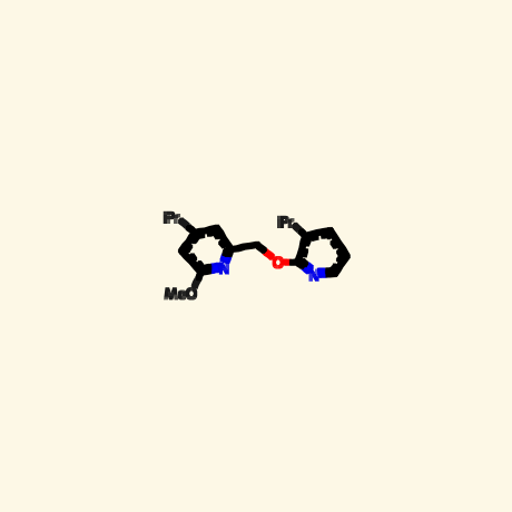 COc1cc(C(C)C)cc(COc2ncccc2C(C)C)n1